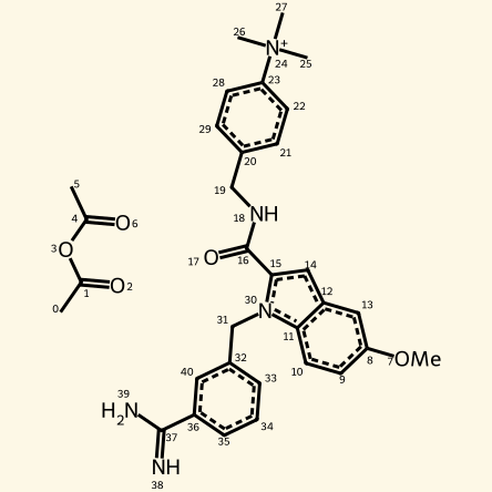 CC(=O)OC(C)=O.COc1ccc2c(c1)cc(C(=O)NCc1ccc([N+](C)(C)C)cc1)n2Cc1cccc(C(=N)N)c1